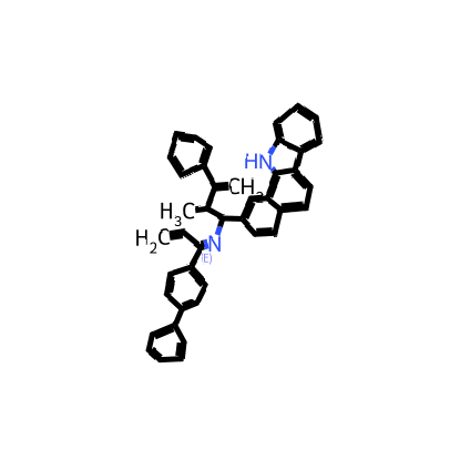 C=C/C(=N\C(c1ccc2ccc3c4ccccc4[nH]c3c2c1)C(C)C(=C)c1ccccc1)c1ccc(-c2ccccc2)cc1